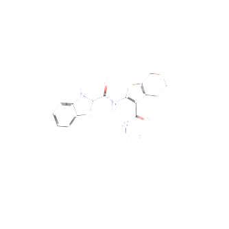 CCOC(=O)NC(=O)c1c(NC(=O)C2Nc3ccccc3S2)sc2c1CCOC2